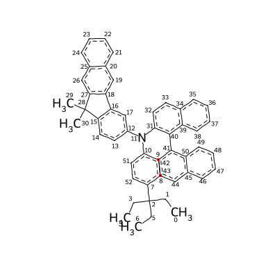 CCC(CC)(CC)c1ccc(N(c2ccc3c(c2)-c2cc4ccccc4cc2C3(C)C)c2ccc3ccccc3c2-c2cccc3ccccc23)cc1